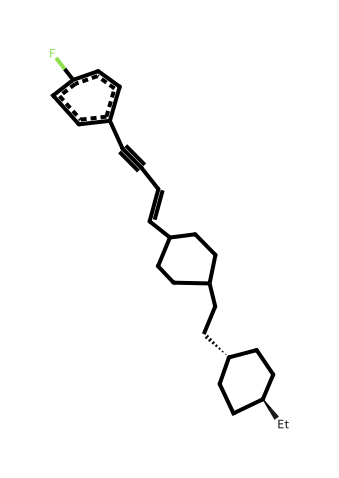 CC[C@H]1CC[C@H](CCC2CCC(/C=C/C#Cc3ccc(F)cc3)CC2)CC1